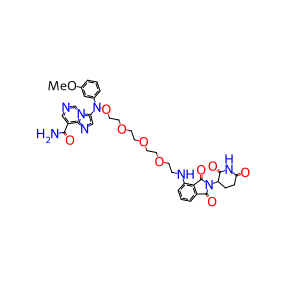 COc1cccc(N(OCCOCCOCCOCCNc2cccc3c2C(=O)N(C2CCC(=O)NC2=O)C3=O)c2cnc3c(C(N)=O)cncn23)c1